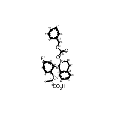 C[C@H](Oc1ccc(F)cc1[C@@H]1c2ccccc2CCN1OC(=O)OCc1ccccc1)C(=O)O